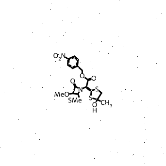 COC1C(=O)N(C(C(=O)OCc2ccc([N+](=O)[O-])cc2)=C2SCC(C)(O)S2)C1SC